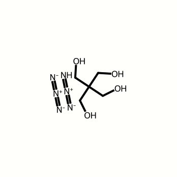 OCC(CO)(CO)CO.[N-]=[N+]=N.[N-]=[N+]=[N-]